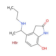 Br.CCCNC(C)c1ccc(O)c2c1CC(=O)N2